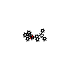 c1ccc(-c2cc(-c3ccc(-c4ccc(-c5cccc6c5C(c5ccccc5)(c5ccccc5)c5ccccc5-6)cc4)c4ccccc34)nc(-c3ccccc3)n2)cc1